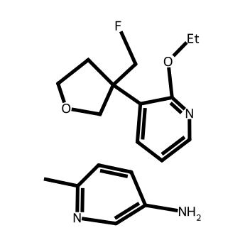 CCOc1ncccc1C1(CF)CCOC1.Cc1ccc(N)cn1